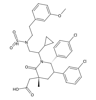 COc1cccc(CCN(CC(C2CC2)N2C(=O)[C@@](C)(CC(=O)O)CC(c3cccc(Cl)c3)[C@H]2c2ccc(Cl)cc2)[SH](=O)=O)c1